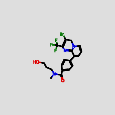 CN(CCCO)C(=O)c1ccc(C2=CC=CN3CC(Br)=C(C(F)(F)F)N=C23)cc1